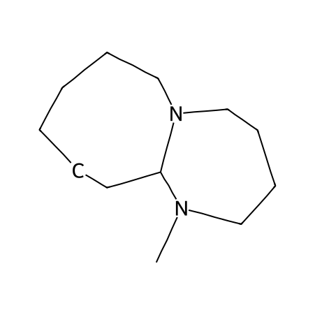 CN1CCCCN2CCCCCCC12